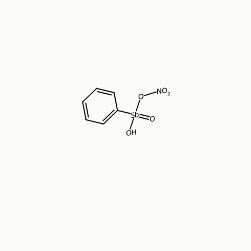 O=[N+]([O-])[O][Sb](=[O])([OH])[c]1ccccc1